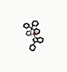 O=C([C@H]1CCCN1C(c1ccccc1)(c1ccccc1)c1ccccc1)n1cc(-c2ccccc2)c2ccccc21